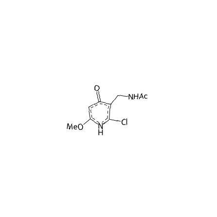 COc1cc(=O)c(CNC(C)=O)c(Cl)[nH]1